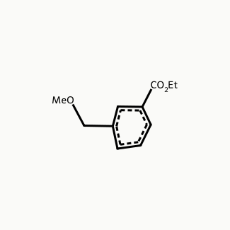 CCOC(=O)c1cccc(COC)c1